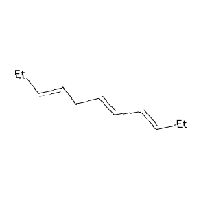 [CH2]CC=CC=CCC=CCC